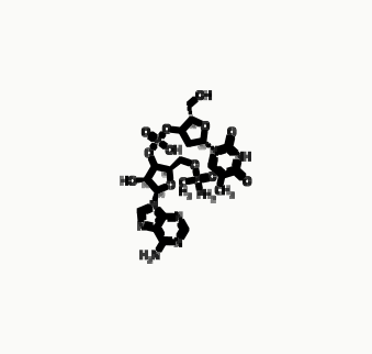 Cc1cn([C@@H]2CC(OP(=O)(O)OC3[C@@H](COP(C)(=O)P)O[C@@H](n4cnc5c(N)ncnc54)[C@H]3O)[C@H](CO)O2)c(=O)[nH]c1=O